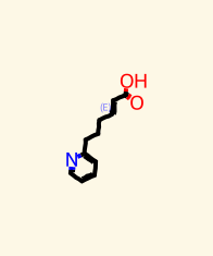 O=C(O)/C=C/CCCc1ccccn1